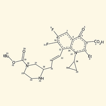 CCc1c(C(=O)O)c(=O)c2cc(F)c(F)c(C=CCC3CN(C(=O)OC(C)(C)C)CCN3)c2n1C1CC1